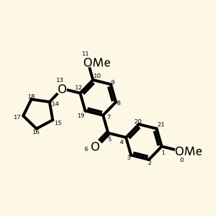 COc1ccc(C(=O)c2ccc(OC)c(OC3CCCC3)c2)cc1